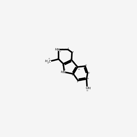 CC1NCCc2c1[nH]c1cc(O)ccc21